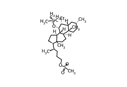 CC[C@H]1[C@@H](O[Si](C)(C)C)[C@@H]2[C@H](CC[C@]3(C)[C@@H]([C@H](C)CCCOS(C)(=O)=O)CC[C@@H]23)[C@@]2(C)CC[C@@H](C)C[C@@H]12